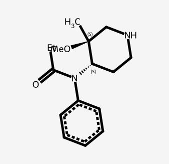 CCC(=O)N(c1ccccc1)[C@H]1CCNC[C@]1(C)OC